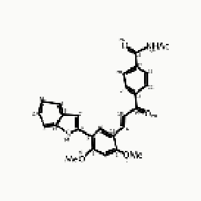 COc1cc(OC)c(-c2cc3ccccc3s2)cc1C=CC(=O)c1ccc(C(=O)NC(C)=O)cc1